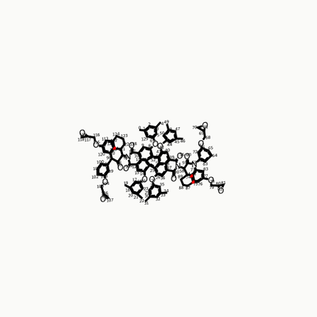 Cc1cc(C)cc(Oc2cc3c4c(cc(Oc5cc(C)cc(C)c5)c5c6c(Oc7cc(C)cc(C)c7)cc7c8c(cc(Oc9cc(C)cc(C)c9)c(c2c45)c86)C(=O)N(C(C(=O)N(c2cccc(OCC4CO4)c2)c2cccc(OCC4CO4)c2)C2CCCCC2)C7=O)C(=O)N(C(C(=O)C(c2cccc(OCC4CO4)c2)c2cccc(OCC4CO4)c2)C2CCCCC2)C3=O)c1